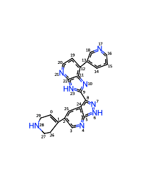 C1=C(c2cnc3[nH]nc(-c4nc5c(-c6cccnc6)ccnc5[nH]4)c3c2)CCNC1